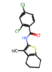 N#Cc1c(NC(=O)c2ccc(Cl)cc2Cl)sc2c1CCCC2